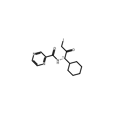 O=C(N[C@H](C(=O)CI)C1CCCCC1)c1cnccn1